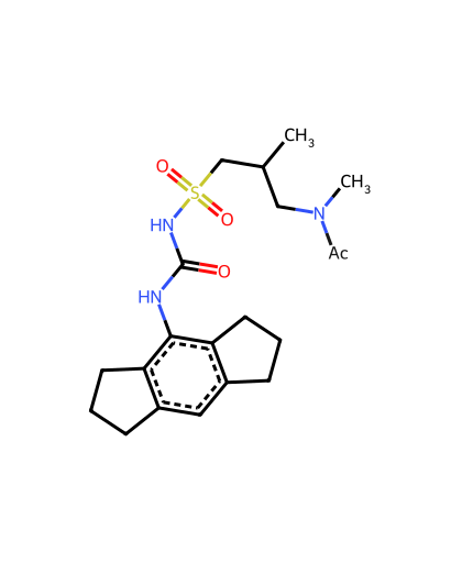 CC(=O)N(C)CC(C)CS(=O)(=O)NC(=O)Nc1c2c(cc3c1CCC3)CCC2